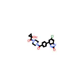 O=C1N=c2cc(Cl)cc(-c3ccc(C(=O)N4CCN(C(=O)C5(O)CC5)CC4)cc3)c2=N1